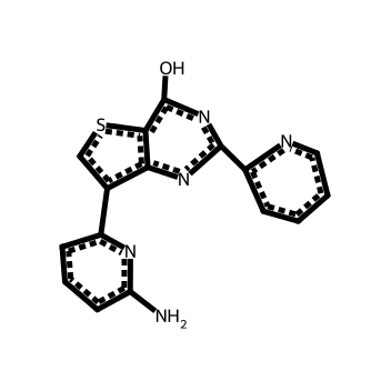 Nc1cccc(-c2csc3c(O)nc(-c4ccccn4)nc23)n1